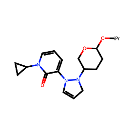 CC(C)OC1CCC(N2CC=CN2c2cccn(C3CC3)c2=O)CO1